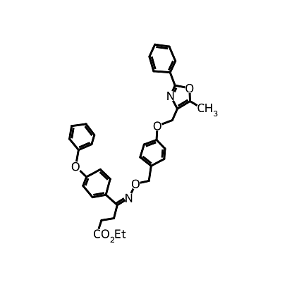 CCOC(=O)CCC(=NOCc1ccc(OCc2nc(-c3ccccc3)oc2C)cc1)c1ccc(Oc2ccccc2)cc1